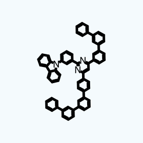 c1ccc(-c2cccc(-c3cccc(-c4ccc(-c5cc(-c6cccc(-c7cccc(-c8ccccc8)c7)c6)nc(-c6cccc(-n7c8ccccc8c8ccccc87)c6)n5)cc4)c3)c2)cc1